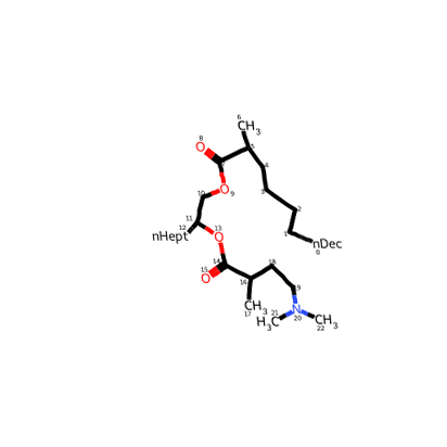 CCCCCCCCCCCCCCC(C)C(=O)OCC(CCCCCCC)OC(=O)C(C)CCN(C)C